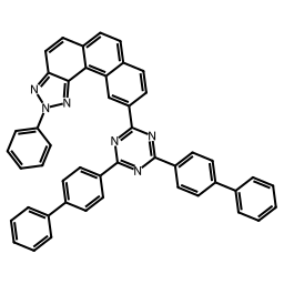 c1ccc(-c2ccc(-c3nc(-c4ccc(-c5ccccc5)cc4)nc(-c4ccc5ccc6ccc7nn(-c8ccccc8)nc7c6c5c4)n3)cc2)cc1